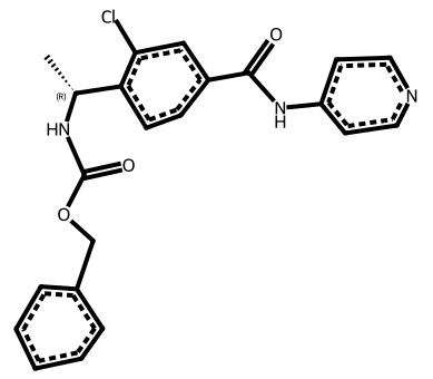 C[C@@H](NC(=O)OCc1ccccc1)c1ccc(C(=O)Nc2ccncc2)cc1Cl